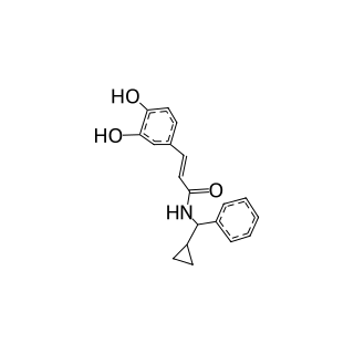 O=C(C=Cc1ccc(O)c(O)c1)NC(c1ccccc1)C1CC1